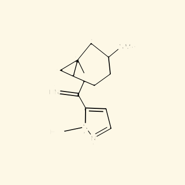 CNC1CCC2CC2(OC(=N)c2ccnn2C)C1